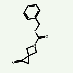 O=C(OCc1ccccc1)N1CC2(CC2=O)C1